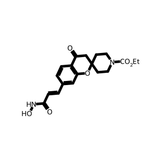 CCOC(=O)N1CCC2(CC1)CC(=O)c1ccc(C=CC(=O)NO)cc1O2